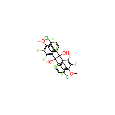 COc1c(F)c(F)c(C(O)(c2ccc(Cl)cc2)C(O)(c2ccc(Cl)cc2)c2c(F)c(F)c(OC)c(F)c2F)c(F)c1F